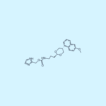 COc1ccc2c(cccc2[C@H]2CO[C@H](CCCNC(=O)OCc3ncc[nH]3)OC2)c1